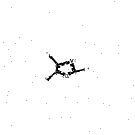 Cc1oc(I)nc1I